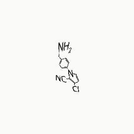 N#Cc1c(Cl)ccn1-c1ccc(CN)cc1